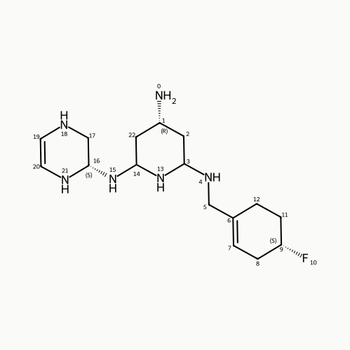 N[C@@H]1CC(NCC2=CC[C@@H](F)CC2)NC(N[C@H]2CNC=CN2)C1